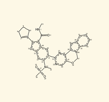 CNC(=O)c1c(C2=CCCC2)oc2cc(N(C)S(C)(=O)=O)c(-c3ncc4c(n3)-c3cc5ccccc5n3CO4)cc12